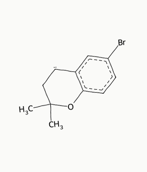 CC1(C)C[C]c2cc(Br)ccc2O1